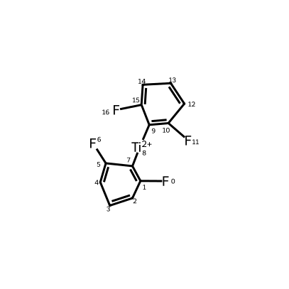 Fc1cccc(F)[c]1[Ti+2][c]1c(F)cccc1F